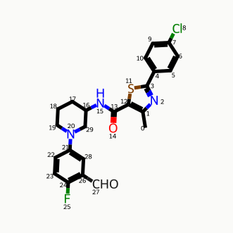 Cc1nc(-c2ccc(Cl)cc2)sc1C(=O)NC1CCCN(c2ccc(F)c(C=O)c2)C1